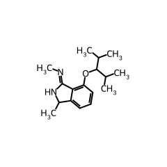 C/N=C1\NC(C)c2cccc(OC(C(C)C)C(C)C)c21